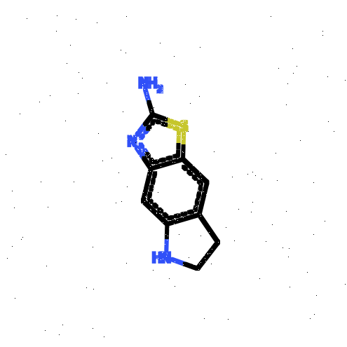 Nc1nc2cc3c(cc2s1)CCN3